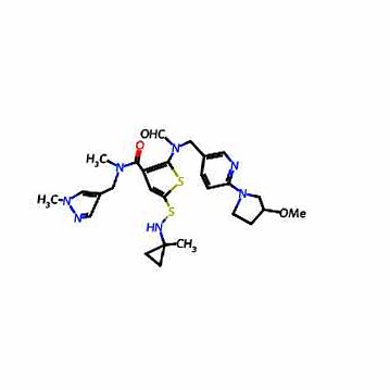 COC1CCN(c2ccc(CN(C=O)c3sc(SNC4(C)CC4)cc3C(=O)N(C)Cc3cnn(C)c3)cn2)C1